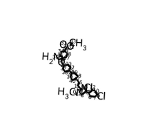 CCn1cc(-c2ccc(Cl)cc2Cl)nc1C=Cc1ccc(-c2ccc(Oc3ccc(C(=O)OC)cc3N)cc2)cc1